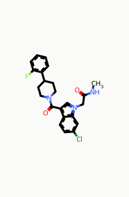 CNC(=O)Cn1cc(C(=O)N2CCC(c3ccccc3F)CC2)c2ccc(Cl)cc21